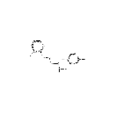 Cc1ccccc1SCCC(Oc1ccc(Br)cc1)C(=O)O